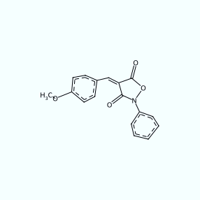 COc1ccc(C=C2C(=O)ON(c3ccccc3)C2=O)cc1